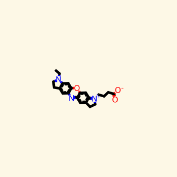 CCN1CCc2cc3c(cc21)Oc1cc2c(cc1=N3)CC[N+]=2CCCC(=O)[O-]